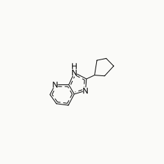 c1cnc2[nH]c(C3CCCC3)nc2c1